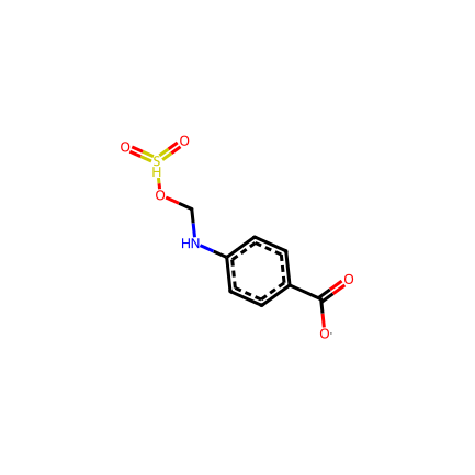 [O]C(=O)c1ccc(NCO[SH](=O)=O)cc1